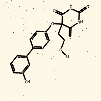 CCOCCC1(Oc2ccc(-c3cccc(C#N)c3)cc2)C(=O)NC(=O)NC1=O